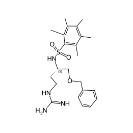 Cc1c(C)c(C)c(S(=O)(=O)N[C@@H](CCNC(=N)N)COCc2ccccc2)c(C)c1C